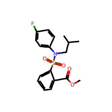 COC(=O)c1ccccc1S(=O)(=O)N(CC(C)C)c1ccc(F)cc1